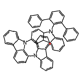 C1=CC2C(C=C1n1c3ccccc3c3cccc(-n4c5ccccc5c5ccccc54)c31)c1ccccc1N2c1c(-c2ccccc2)cccc1-c1ccccc1